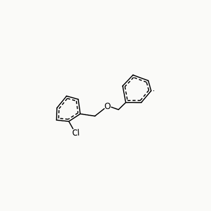 Clc1ccccc1COCc1c[c]ccc1